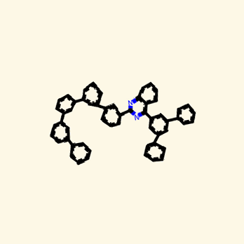 c1ccc(-c2cccc(-c3cccc(-c4cccc(-c5cccc(-c6nc(-c7cc(-c8ccccc8)cc(-c8ccccc8)c7)c7ccccc7n6)c5)c4)c3)c2)cc1